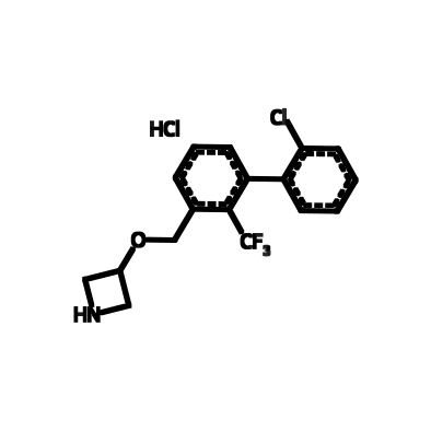 Cl.FC(F)(F)c1c(COC2CNC2)cccc1-c1ccccc1Cl